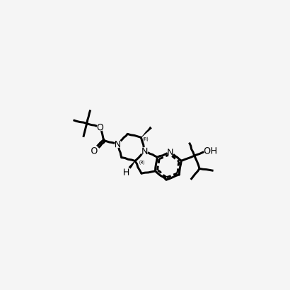 CC(C)C(C)(O)c1ccc2c(n1)N1[C@H](C2)CN(C(=O)OC(C)(C)C)C[C@H]1C